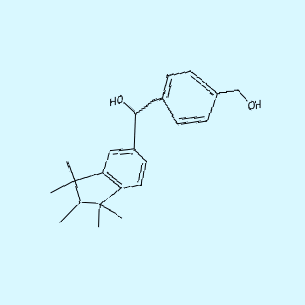 CC1C(C)(C)c2ccc(C(O)c3ccc(CO)cc3)cc2C1(C)C